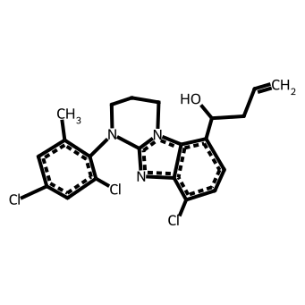 C=CCC(O)c1ccc(Cl)c2nc3n(c12)CCCN3c1c(C)cc(Cl)cc1Cl